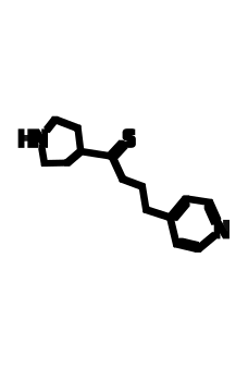 S=C(CCCc1ccncc1)C1CCNCC1